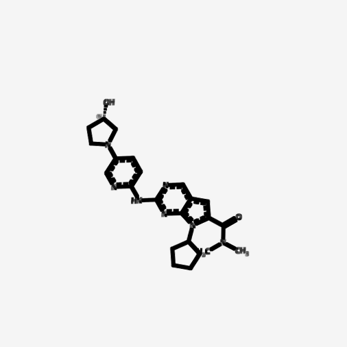 CN(C)C(=O)c1cc2cnc(Nc3ccc(N4CC[C@H](O)C4)cn3)nc2n1C1CCCC1